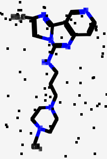 CN1CCN(CCCNc2nc3ccncc3c3nc(C(=O)O)cn23)CC1